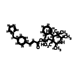 CC1NC(C)C(CCOC(=O)/C=C/c2ccc(Cn3ccnc3)cc2)(C(=O)O)C(c2ccccc2F)C1(C)C(=O)O